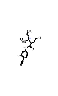 C=C/C=C(\NC)N(CCCl)C(=O)Nc1ccc(C#N)c(F)c1